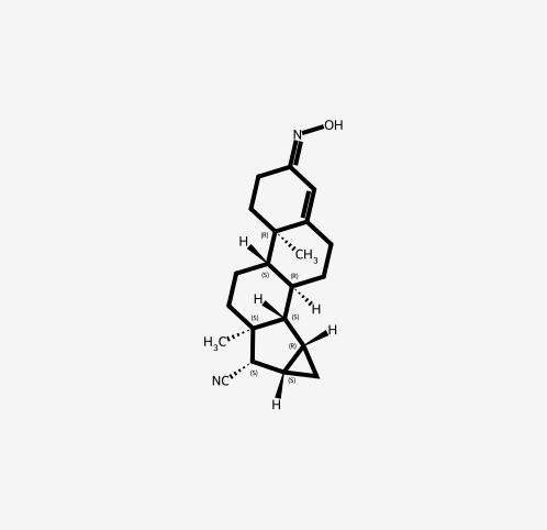 C[C@]12CC[C@H]3[C@@H](CCC4=CC(=NO)CC[C@@]43C)[C@@H]1[C@@H]1C[C@@H]1[C@@H]2C#N